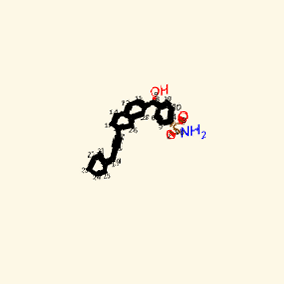 NS(=O)(=O)c1ccc(C(O)c2ccc3ccc(C#CCc4ccccc4)cc3c2)cc1